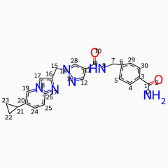 NC(=O)c1ccc(CNC(=O)c2cnn(Cc3cn4cc(C5CC5)ccc4n3)c2)cc1